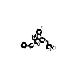 O=C(c1cnn(-c2ccc(F)cc2)c1C1CCN(Cc2ccnc(Cl)c2)CC1)N1CC[C@H](c2ccccc2)C1